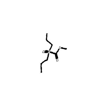 CCCP(=O)(CCC)C(=O)OC